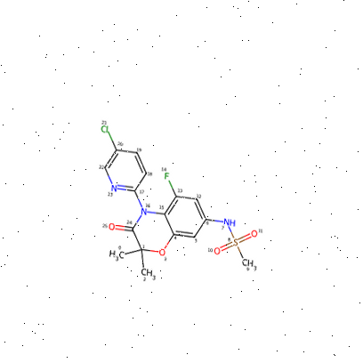 CC1(C)Oc2cc(NS(C)(=O)=O)cc(F)c2N(c2ccc(Cl)cn2)C1=O